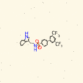 O=S(=O)(NCCc1c[nH]c2ccccc12)c1ccc(-c2cc(C(F)(F)F)cc(C(F)(F)F)c2)cc1